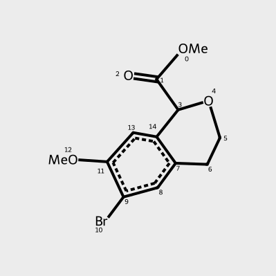 COC(=O)C1OCCc2cc(Br)c(OC)cc21